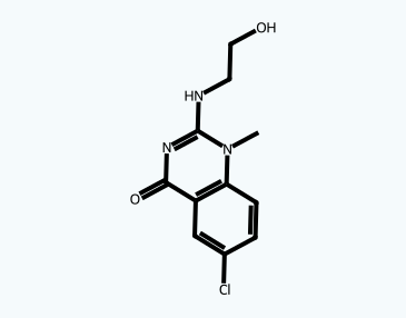 Cn1c(NCCO)nc(=O)c2cc(Cl)ccc21